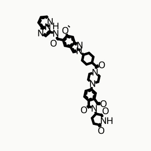 COc1cc2nn(C3CCC(C(=O)N4CCN(c5ccc6c(c5)C(=O)N(C5CCC(=O)NC5=O)C6=O)CC4)CC3)cc2cc1C(=O)Nc1cnc2cccnn12